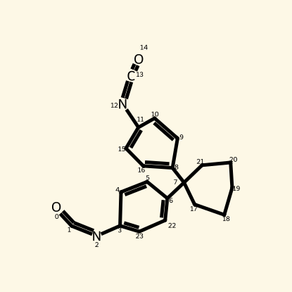 O=C=Nc1ccc(C2(c3ccc(N=C=O)cc3)CCCCC2)cc1